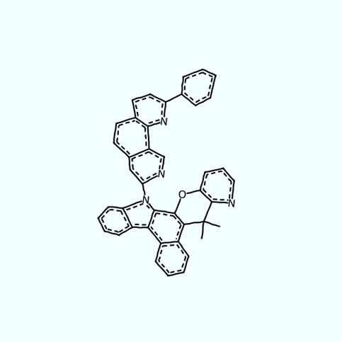 CC1(C)c2ncccc2Oc2c1c1ccccc1c1c3ccccc3n(-c3cc4ccc5ccc(-c6ccccc6)nc5c4cn3)c21